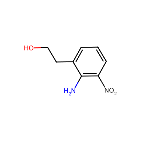 Nc1c(CCO)cccc1[N+](=O)[O-]